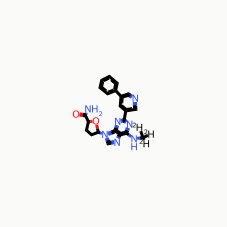 [2H]C([2H])([2H])Nc1nc(-c2cncc(-c3ccccc3)c2)nc2c1ncn2C1CCC(C(N)=O)O1